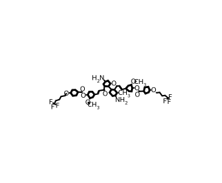 COc1cc(/C=C/C(=O)c2cc(N)ccc2-c2ccc(N)c(C)c2C(=O)/C=C/c2ccc(OC(=O)c3ccc(OCCCCC(F)(F)F)cc3)c(OC)c2)ccc1OC(=O)c1ccc(OCCCCC(F)(F)F)cc1